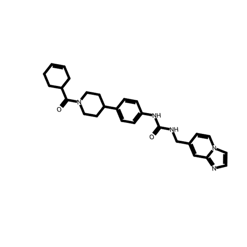 O=C(NCc1ccn2ccnc2c1)Nc1ccc(C2CCN(C(=O)C3CC=CCC3)CC2)cc1